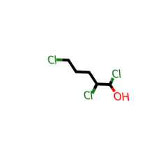 OC(Cl)C(Cl)CCCCl